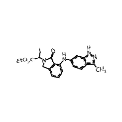 CCOC(=O)C(I)N1Cc2cccc(Nc3ccc4c(C)n[nH]c4c3)c2C1=O